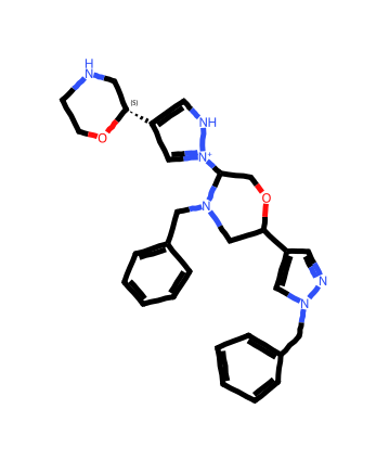 c1ccc(CN2CC(c3cnn(Cc4ccccc4)c3)OCC2[n+]2cc([C@H]3CNCCO3)c[nH]2)cc1